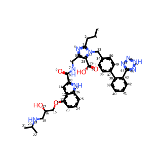 CCCc1nc(CNC(=O)c2cc3c(OCC(O)CNC(C)C)cccc3[nH]2)c(C(=O)O)n1Cc1ccc(-c2ccccc2-c2nn[nH]n2)cc1